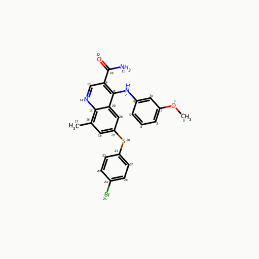 COc1cccc(Nc2c(C(N)=O)cnc3c(C)cc(Sc4ccc(Br)cc4)cc23)c1